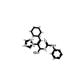 CC(C)(C)C(OC(=O)Nc1ccccc1)C(=CC1CCCCC1)n1cncn1